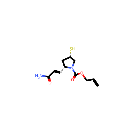 C=CCOC(=O)N1C[C@@H](S)C[C@H]1C=CC(N)=O